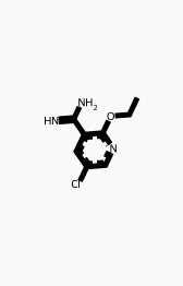 CCOc1ncc(Cl)cc1C(=N)N